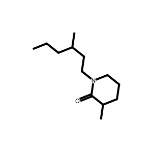 CCCC(C)CCN1CCCC(C)C1=O